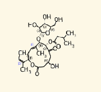 C/C=C(/C)[C@H]1C/C=C(\C)[C@@H](O[C@H]2O[C@H](CO)[C@@H](O)[C@@H]2O)[C@H](OC(=O)CC(C)C)C(=O)C[C@@H](O)CC(=O)O1